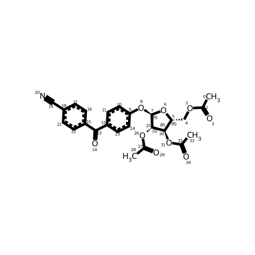 CC(=O)OC[C@H]1O[C@H](Oc2ccc(C(=O)c3ccc(C#N)cc3)cc2)[C@@H](OC(C)=O)[C@@H]1OC(C)=O